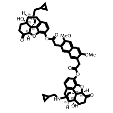 COc1cc2cc(OC)c(CC(=O)Oc3ccc4c5c3O[C@H]3C(=O)CC[C@@]6(O)[C@@H](C4)N(CC4CC4)CC[C@]536)cc2cc1CC(=O)Oc1ccc2c3c1O[C@H]1C(=O)CC[C@@]4(O)[C@@H](C2)C(NCC2CC2)CC[C@]314